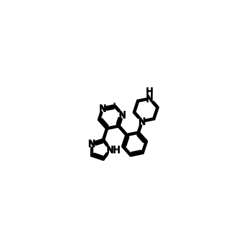 [c]1ncc(-c2ncc[nH]2)c(-c2ccccc2N2CCNCC2)n1